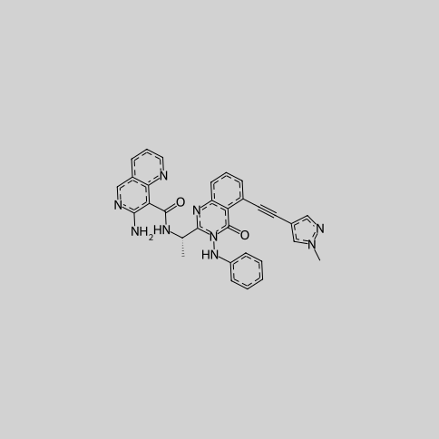 C[C@H](NC(=O)c1c(N)ncc2cccnc12)c1nc2cccc(C#Cc3cnn(C)c3)c2c(=O)n1Nc1ccccc1